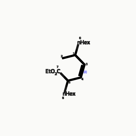 CCCCCCC(C)/C=C\C(CCCCCC)C(=O)OCC